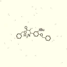 [CH2]C(C(=O)OCc1ccccc1)C(N)c1ccc(OCc2ccccc2)c(C(C)(C)C)c1